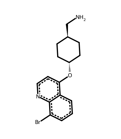 NC[C@H]1CC[C@H](Oc2ccnc3c(Br)cccc23)CC1